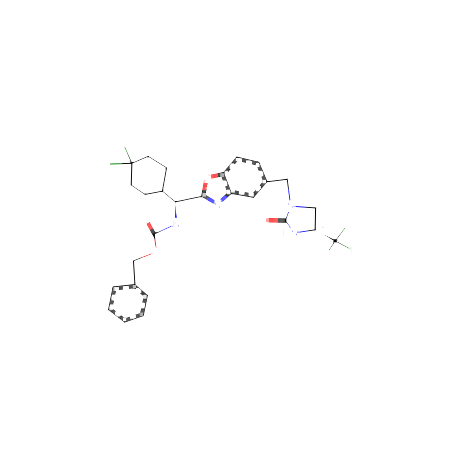 O=C(N[C@H](c1nc2cc(CN3C[C@@H](C(F)(F)F)NC3=O)ccc2o1)C1CCC(F)(F)CC1)OCc1ccccc1